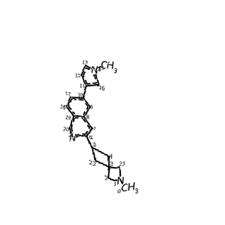 CN1CC2(CC(c3cc4cc(-c5ccn(C)c5)ccc4cn3)C2)C1